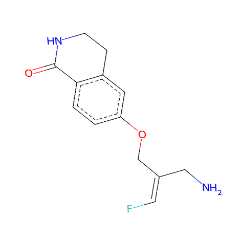 NC/C(=C/F)COc1ccc2c(c1)CCNC2=O